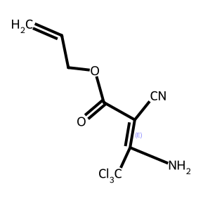 C=CCOC(=O)/C(C#N)=C(/N)C(Cl)(Cl)Cl